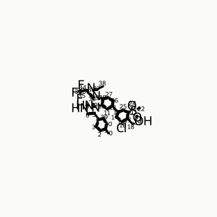 Cc1ccc(C2=CNNN2c2cc(-c3cc(Cl)c(CO)c(S(C)(=O)=O)c3)ccc2-n2cc(C(F)(F)F)nc2C)cc1